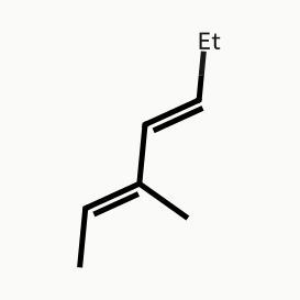 C/C=C(C)/C=C/CC